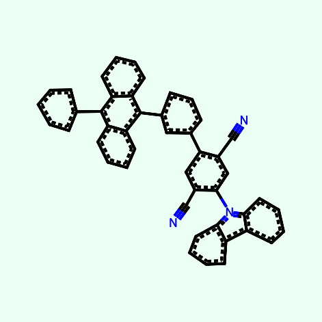 N#Cc1cc(-n2c3ccccc3c3ccccc32)c(C#N)cc1-c1cccc(-c2c3ccccc3c(-c3ccccc3)c3ccccc23)c1